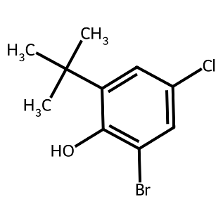 CC(C)(C)c1cc(Cl)cc(Br)c1O